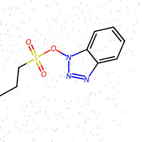 CCCCS(=O)(=O)On1nnc2ccccc21